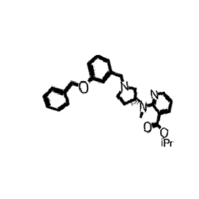 CC(C)OC(=O)c1cccnc1N(C)[C@H]1CCN(Cc2cccc(OCc3ccccc3)c2)C1